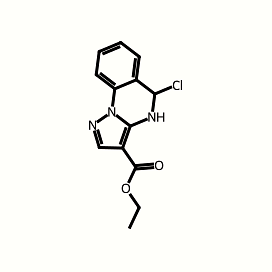 CCOC(=O)c1cnn2c1NC(Cl)c1ccccc1-2